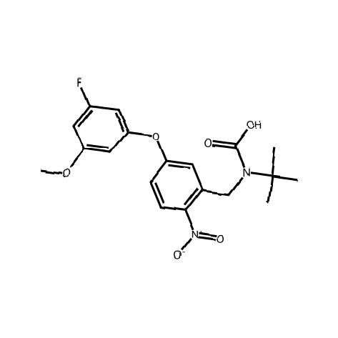 COc1cc(F)cc(Oc2ccc([N+](=O)[O-])c(CN(C(=O)O)C(C)(C)C)c2)c1